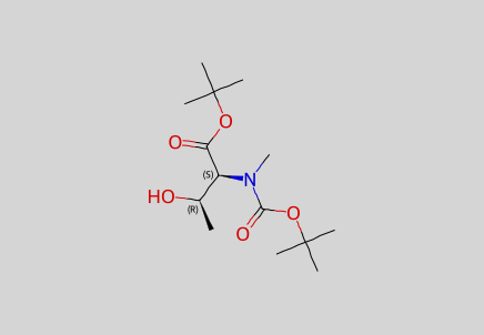 C[C@@H](O)[C@@H](C(=O)OC(C)(C)C)N(C)C(=O)OC(C)(C)C